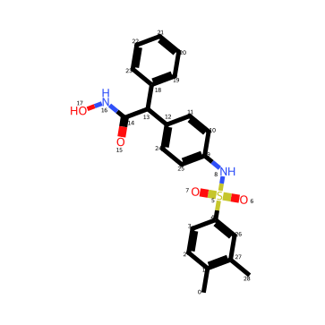 Cc1ccc(S(=O)(=O)Nc2ccc(C(C(=O)NO)c3ccccc3)cc2)cc1C